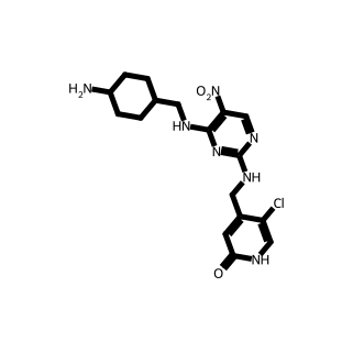 NC1CCC(CNc2nc(NCc3cc(=O)[nH]cc3Cl)ncc2[N+](=O)[O-])CC1